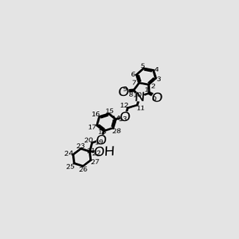 O=C1c2ccccc2C(=O)N1CCOc1cccc(OCC2(O)CCCCC2)c1